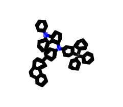 c1ccc(-n2c3ccccc3c3c(N(c4ccc(-c5ccc6ccc7ccccc7c6c5)cc4)c4ccc([Si](c5ccccc5)(c5ccccc5)c5ccccc5)cc4)cccc32)cc1